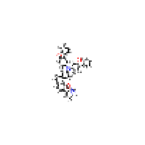 c1ccc2c(c1)oc1cc(N(c3ccc4c(ccc5ccc6c7cccnc7oc6c54)c3)c3ccc4oc5ccccc5c4c3)ccc12